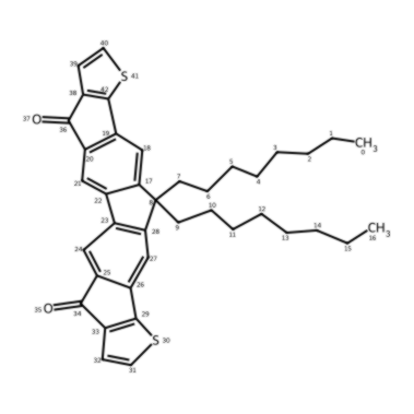 CCCCCCCCC1(CCCCCCCC)c2cc3c(cc2-c2cc4c(cc21)-c1sccc1C4=O)C(=O)c1ccsc1-3